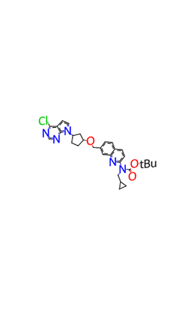 CC(C)(C)OC(=O)N(CC1CC1)c1ccc2ccc(COC3CCC(n4ccc5c(Cl)ncnc54)C3)cc2n1